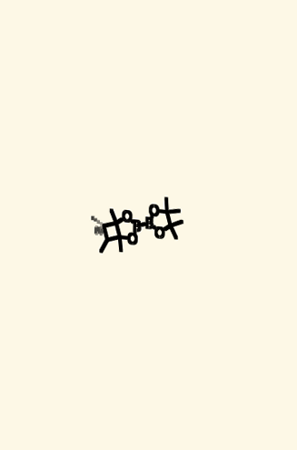 CC1[C@H](C)C2(C)OB(B3OC(C)(C)C(C)(C)O3)OC12C